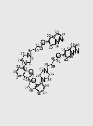 c1cc2c(c(N3CCN(CCCCOc4ccn5nccc5c4)CC3)c1)OCC2.c1cc2c(c(N3CCN(CCCCOc4ccn5nccc5c4)CC3)c1)OCCC2